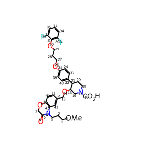 COCCCN1C(=O)COc2ccc(COC3CN(C(=O)O)CCC3c3ccc(OCCCOc4c(F)cccc4F)cc3)cc21